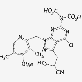 COc1c(C)cnc(Cn2nc(CC(O)C#N)c3c(Cl)nc(N(C(=O)O)C(=O)O)nc32)c1C